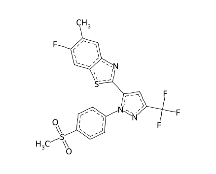 Cc1cc2nc(-c3cc(C(F)(F)F)nn3-c3ccc(S(C)(=O)=O)cc3)sc2cc1F